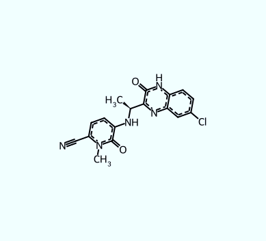 C[C@H](Nc1ccc(C#N)n(C)c1=O)c1nc2cc(Cl)ccc2[nH]c1=O